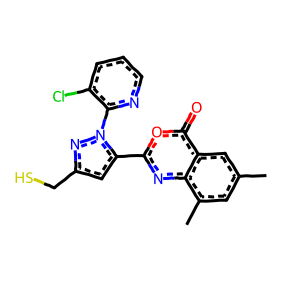 Cc1cc(C)c2nc(-c3cc(CS)nn3-c3ncccc3Cl)oc(=O)c2c1